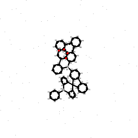 c1ccc(-c2ccccc2N(c2ccc3c(c2)C2(c4ccccc4-3)c3ccccc3N(c3ccccc3)c3ccccc32)c2ccc3c4ccccc4c4ccccc4c3c2)cc1